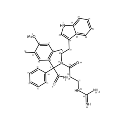 COc1cc(C)c(C(C(N)=O)(c2ccccc2)N(CCc2c[nH]c3ccccc23)C(=O)CCNC(=N)N)cc1C